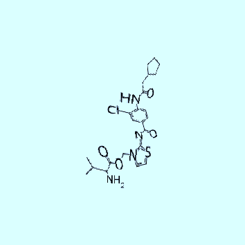 CC(C)C(N)C(=O)OCn1ccsc1=NC(=O)c1ccc(NC(=O)CC2CCCC2)c(Cl)c1